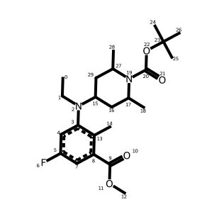 CCN(c1cc(F)cc(C(=O)OC)c1C)C1CC(C)N(C(=O)OC(C)(C)C)C(C)C1